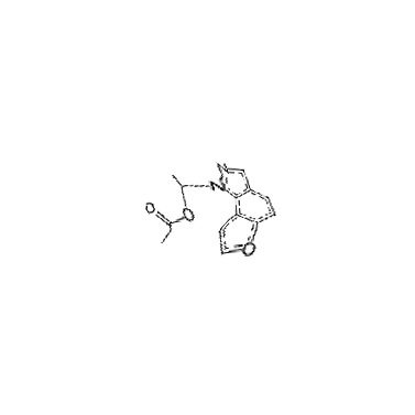 CC(=O)OC(C)n1ncc2ccc3occc3c21